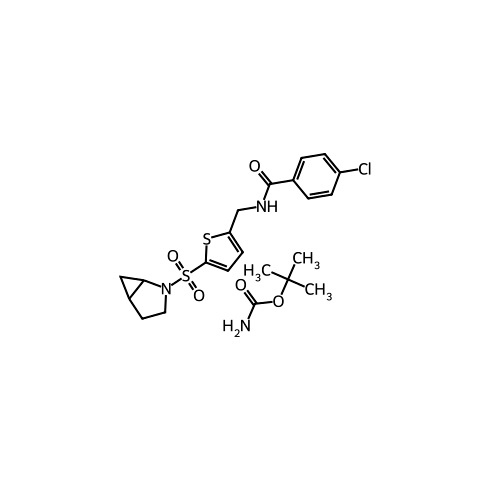 CC(C)(C)OC(N)=O.O=C(NCc1ccc(S(=O)(=O)N2CCC3CC32)s1)c1ccc(Cl)cc1